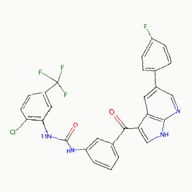 O=C(Nc1cccc(C(=O)c2c[nH]c3ncc(-c4ccc(F)cc4)cc23)c1)Nc1cc(C(F)(F)F)ccc1Cl